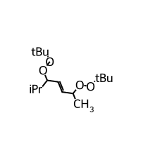 CC(C=CC(OOC(C)(C)C)C(C)C)OOC(C)(C)C